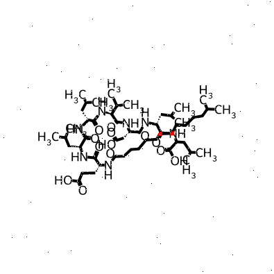 CC(C)CCCCCCCCCCCC(=O)N[C@H](CCC(=O)O)C(=O)N[C@@H](CC(C)C)C(=O)N[C@H](CC(C)C)C(=O)N[C@H](C(=O)N[C@@H](CC(=O)O)C(=O)N[C@H](CC(C)C)C(=O)NC(CC(C)C)C(=O)O)C(C)C